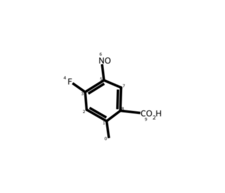 Cc1cc(F)c(N=O)cc1C(=O)O